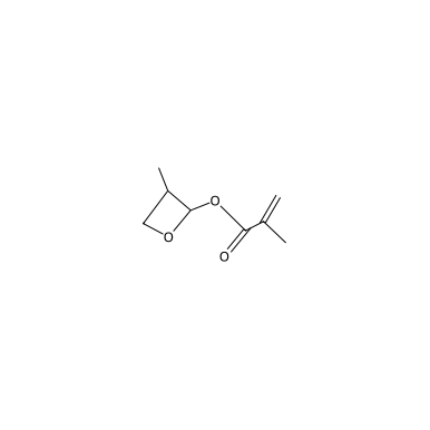 C=C(C)C(=O)OC1OCC1C